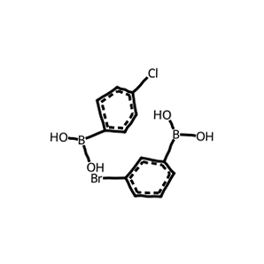 OB(O)c1ccc(Cl)cc1.OB(O)c1cccc(Br)c1